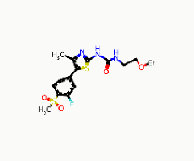 CCOCCNC(=O)Nc1nc(C)c(-c2ccc(S(C)(=O)=O)c(F)c2)s1